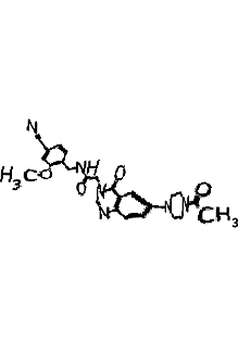 COc1cc(C#N)ccc1CNC(=O)Cn1cnc2ccc(N3CCN(C(C)=O)CC3)cc2c1=O